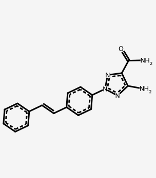 NC(=O)c1nn(-c2ccc(C=Cc3ccccc3)cc2)nc1N